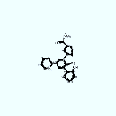 CNC(=O)c1cccc(-n2cc(-c3ccccn3)cc(-c3ccccc3C#N)c2=O)c1